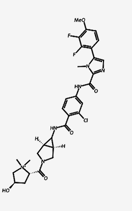 COc1ccc(-c2cnc(C(=O)Nc3ccc(C(=O)NC4[C@H]5CN(C(=O)[C@@H]6C[C@@H](O)C[N+]6(C)C)C[C@@H]45)c(Cl)c3)n2C)c(F)c1F